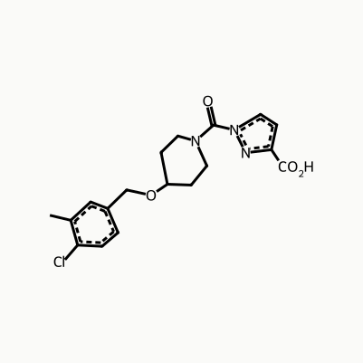 Cc1cc(COC2CCN(C(=O)n3ccc(C(=O)O)n3)CC2)ccc1Cl